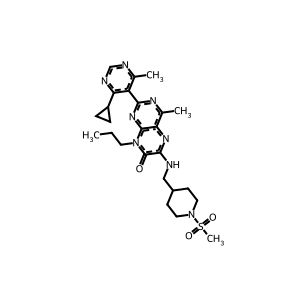 CCCn1c(=O)c(NCC2CCN(S(C)(=O)=O)CC2)nc2c(C)nc(-c3c(C)ncnc3C3CC3)nc21